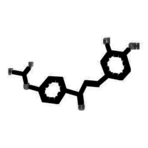 O=C(C=Cc1ccc(O)c(Cl)c1)c1ccc(OC(F)F)cc1